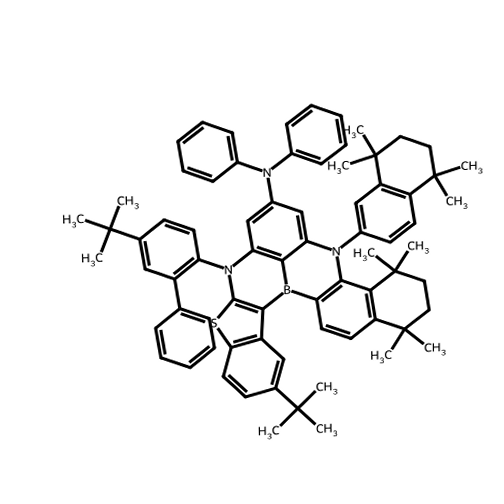 CC(C)(C)c1ccc(N2c3cc(N(c4ccccc4)c4ccccc4)cc4c3B(c3ccc5c(c3N4c3ccc4c(c3)C(C)(C)CCC4(C)C)C(C)(C)CCC5(C)C)c3c2sc2ccc(C(C)(C)C)cc32)c(-c2ccccc2)c1